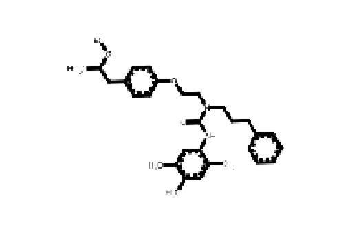 CCOC(Cc1ccc(OCCN(CCCc2ccccc2)C(=O)Nc2cc(C)c(C)cc2C)cc1)C(=O)O